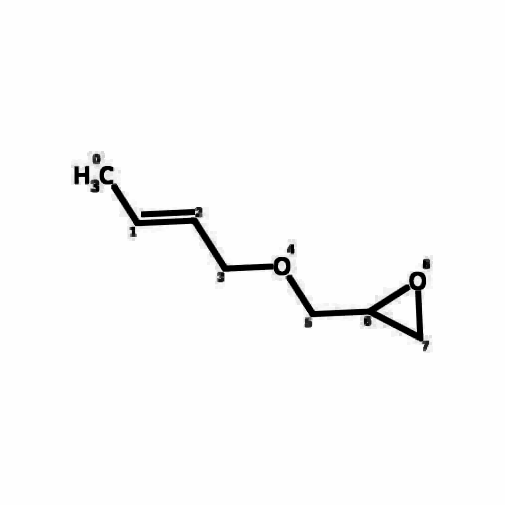 CC=CCOCC1CO1